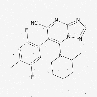 Cc1cc(F)c(-c2c(C#N)nc3ncnn3c2N2CCCCC2C)cc1F